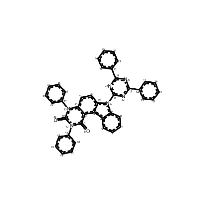 O=c1c2c3c4ccccc4n(-c4nc(-c5ccccc5)nc(-c5ccccc5)n4)c3ccc2n(-c2ccccc2)c(=O)n1-c1ccccc1